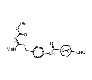 CN/C(=N/C(=O)OC(C)(C)C)NCc1ccc(NC(=O)C23CCC(C=O)(CC2)CC3)cc1